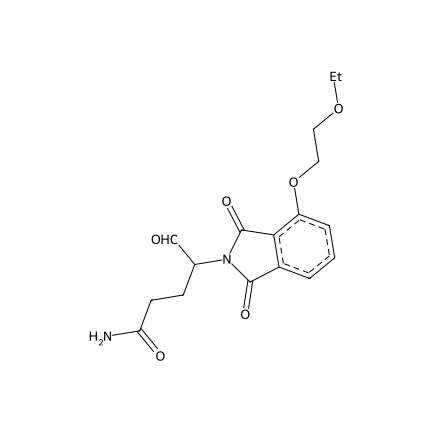 CCOCCOc1cccc2c1C(=O)N(C(C=O)CCC(N)=O)C2=O